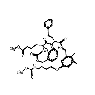 Cc1cc(OCCCCNC(=O)OC(C)(C)C)cc(CNC(=O)[C@H](CCc2ccccc2)NC(=O)[C@H](CCCC(=O)OC(C)(C)C)NC(=O)OCc2ccccc2)c1C